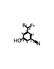 N#Cc1cc(O)cc(C(F)F)c1